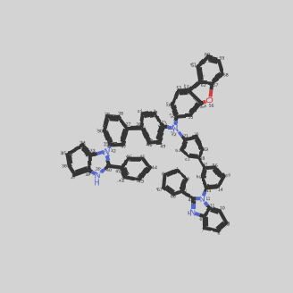 c1ccc(-c2nc3ccccc3n2-c2cccc(-c3ccc(N(c4ccc(-c5cccc(N6c7ccccc7NC6c6ccccc6)c5)cc4)c4ccc5c(c4)oc4ccccc45)cc3)c2)cc1